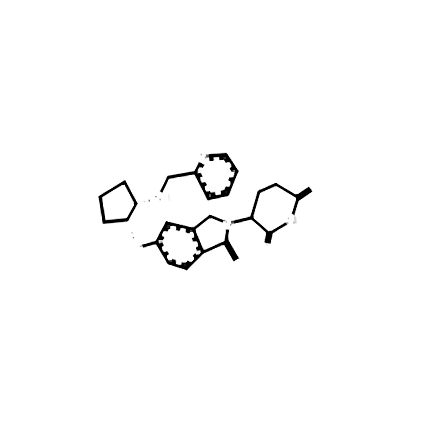 O=C1CCC(N2Cc3cc(O[C@@H]4CCC[C@@H]4NCc4ccccn4)ccc3C2=O)C(=O)N1